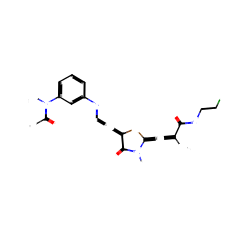 CCn1c(=C=C(C#N)C(=O)NCCF)sc(=C=CNc2cccc(N(C)C(=O)C(C)(C)C)c2)c1=O